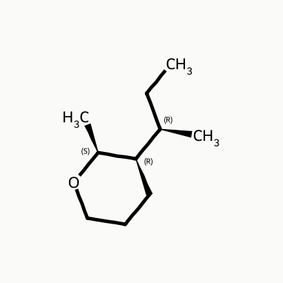 CC[C@@H](C)[C@H]1CCCO[C@H]1C